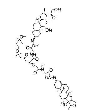 COC(C)(C)CCOC(C)(C)CC(=O)C[C@@H](CCC(=O)NCC(=O)N/N=C1\C=C[C@@]2(C)C(=C1)CCC1[C@@H]3C[C@@H](C)[C@](O)(C(=O)CO)[C@@]3(C)CC[C@@]12F)C(=O)NCC(=O)N/N=C1\C=C[C@@]2(C)C(=C1)CC[C@@H]1C2[C@@H](O)C[C@@]2(C)C1C[C@@H](C)[C@@H]2C(=O)CO